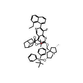 CCc1cccc2cccc(-c3ncc4c(N5CC6CCC(C5)N6C(=O)OC(C)(C)C)nc(OC[C@@]56C[C@H](C)CN5C[C@H](O[Si](c5ccccc5)(c5ccccc5)C(C)(C)C)C6)nc4c3F)c12